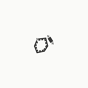 N#N.c1ccncc1